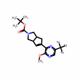 [2H]C([2H])([2H])c1cnc(OC)c(C2=CC3CN(C(=O)OC(C)(C)C)CC3C2)n1